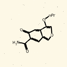 CCCOc1cocc2cc(C(N)=O)c(=O)cc1-2